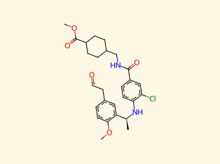 COC(=O)C1CCC(CNC(=O)c2ccc(N[C@@H](C)c3cc(CC=O)ccc3OC)c(Cl)c2)CC1